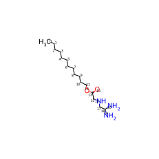 CCCCCCCCCCCCOC(=O)CNCC(N)N